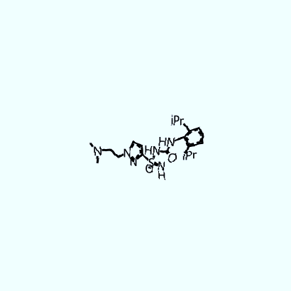 CC(C)c1cccc(C(C)C)c1NC(=O)NS(=N)(=O)c1ccn(CCN(C)C)n1